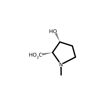 CN1CC[C@@H](O)[C@H]1C(=O)O